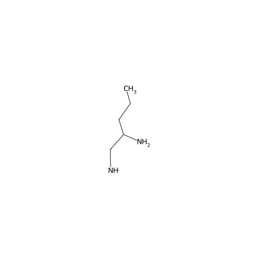 CCCC(N)C[NH]